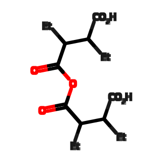 CCC(C(=O)O)C(CC)C(=O)OC(=O)C(CC)C(CC)C(=O)O